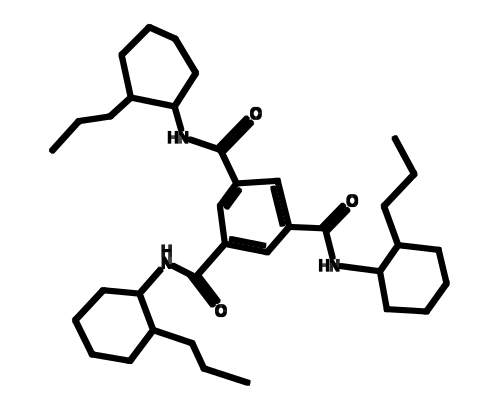 CCCC1CCCCC1NC(=O)c1cc(C(=O)NC2CCCCC2CCC)cc(C(=O)NC2CCCCC2CCC)c1